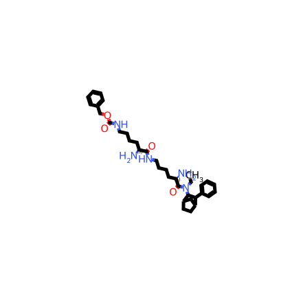 CCN(C(=O)[C@@H](N)CCCCNC(=O)[C@@H](N)CCCCNC(=O)OCc1ccccc1)C1C2CCC(C2)C1c1ccccc1